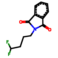 O=C1c2ccccc2C(=O)N1CCCC(F)F